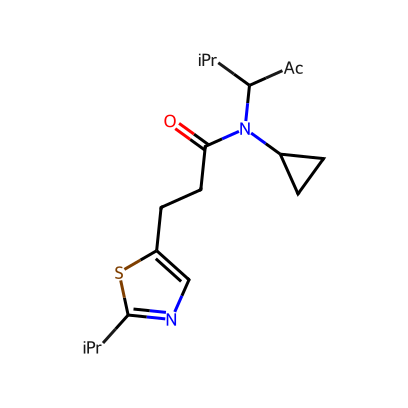 CC(=O)C(C(C)C)N(C(=O)CCc1cnc(C(C)C)s1)C1CC1